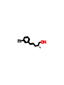 CCc1cccc(/C=C/C[C@@H](C)CO)c1